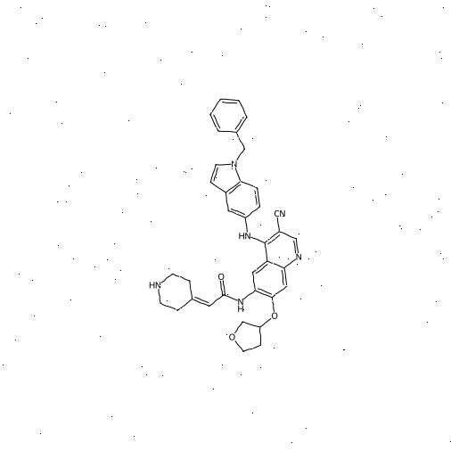 N#Cc1cnc2cc(OC3CCOC3)c(NC(=O)C=C3CCNCC3)cc2c1Nc1ccc2c(ccn2Cc2ccccc2)c1